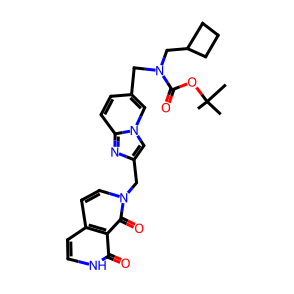 CC(C)(C)OC(=O)N(Cc1ccc2nc(Cn3ccc4cc[nH]c(=O)c4c3=O)cn2c1)CC1CCC1